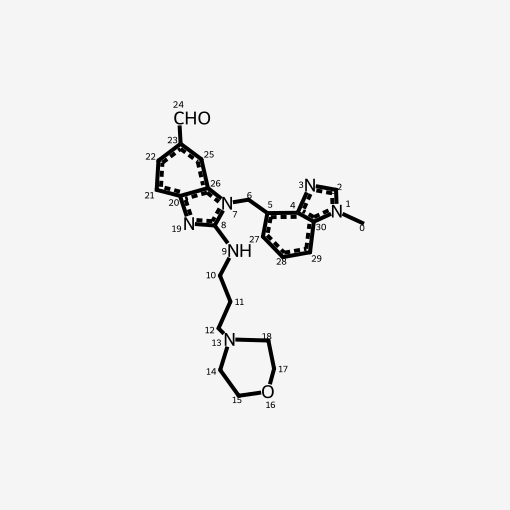 Cn1cnc2c(Cn3c(NCCCN4CCOCC4)nc4ccc(C=O)cc43)cccc21